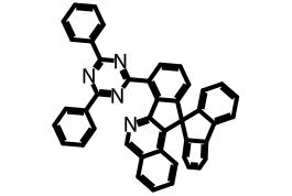 c1ccc(-c2nc(-c3ccccc3)nc(-c3cccc4c3-c3ncc5ccccc5c3C43c4ccccc4-c4ccccc43)n2)cc1